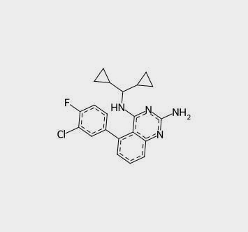 Nc1nc(NC(C2CC2)C2CC2)c2c(-c3ccc(F)c(Cl)c3)cccc2n1